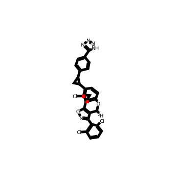 [2H]C(Oc1ccc(C2CC2c2ccc(-c3nnn[nH]3)cc2)c(Cl)c1)c1c(-c2c(Cl)cccc2Cl)noc1C1CC1